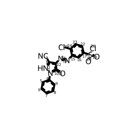 N#Cc1[nH]n(-c2ccccc2)c(=O)c1N=Nc1cc(S(=O)(=O)Cl)ccc1Cl